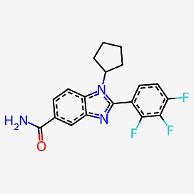 NC(=O)c1ccc2c(c1)nc(-c1ccc(F)c(F)c1F)n2C1CCCC1